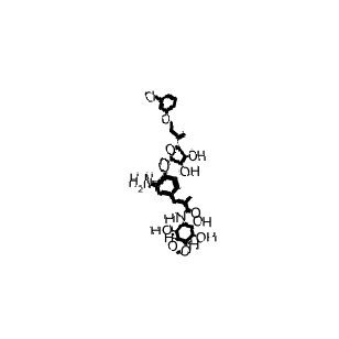 CC(=Cc1ccc(O[C@@H]2O[C@H](C(C)=CCOc3cccc(Cl)c3)[C@@H](O)[C@H]2O)c(N)c1)C(=O)N[C@@H]1[C@H](O)[C@@H](O)[C@H]2OCO[C@H]2[C@@H]1O